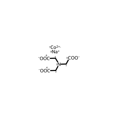 O=C([O-])CN(CC(=O)[O-])CC(=O)[O-].[Co+2].[Na+]